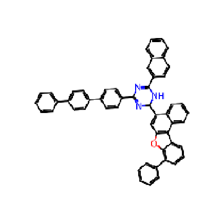 c1ccc(-c2ccc(-c3ccc(C4=NC(c5cc6oc7c(-c8ccccc8)cccc7c6c6ccccc56)NC(c5ccc6ccccc6c5)=N4)cc3)cc2)cc1